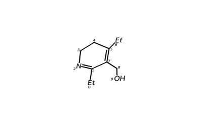 CCC1=NCCC(CC)=C1CO